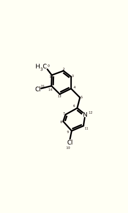 Cc1ccc(Cc2ccc(Cl)cn2)cc1Cl